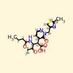 CCCC(=O)NC(C(=O)CF)C(C(=O)O)c1ccnn(Cc2csc(C)n2)c1=O